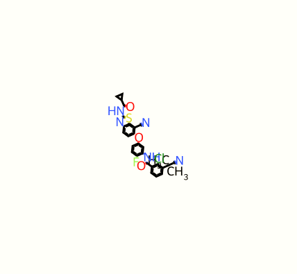 CC(C)(C#N)c1cccc(C(=O)Nc2cc(Oc3ccc4nc(NC(=O)C5CC5)sc4c3C#N)ccc2F)c1Cl